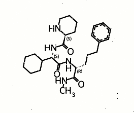 CNC(=O)[C@@H](CCCc1ccccc1)NC(=O)[C@@H](NC(=O)[C@@H]1CCCCN1)C1CCCCC1